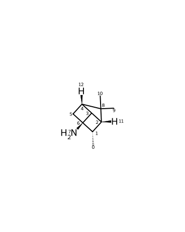 C[C@H]1[C@@H]2C3[C@H](C[C@]31N)C2(C)C